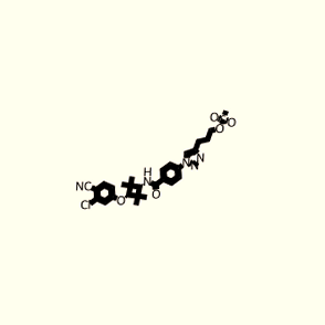 CC1(C)[C@H](NC(=O)c2ccc(-n3cc(CCCOS(C)(=O)=O)nn3)cc2)C(C)(C)[C@H]1Oc1ccc(C#N)c(Cl)c1